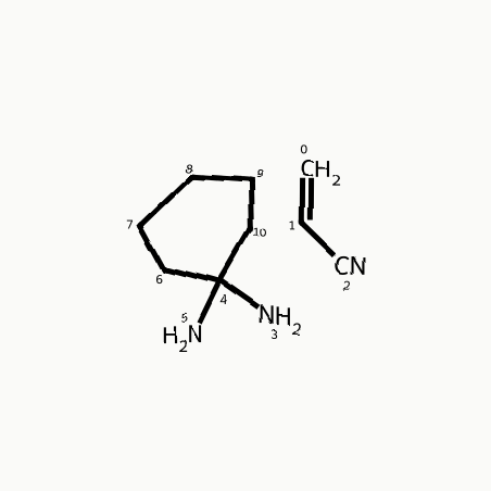 C=CC#N.NC1(N)CCCCC1